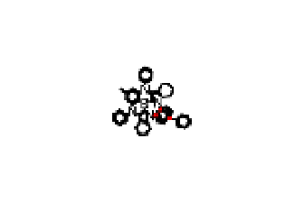 Cc1cc2c3c(c1)N(c1ccccc1)c1c4c(n(-c5cccc(-c6ccccc6)c5)c1B3c1c(c3c(n1-c1ccccc1)CCCC3)N2c1ccccc1)CCCC4